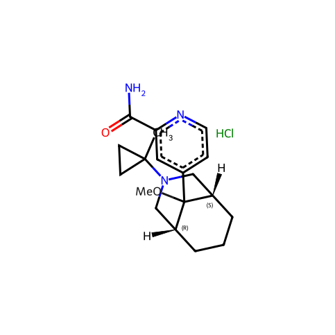 COC1(c2ccnc(C(N)=O)c2)[C@@H]2CCC[C@H]1CN(C1(C)CC1)C2.Cl